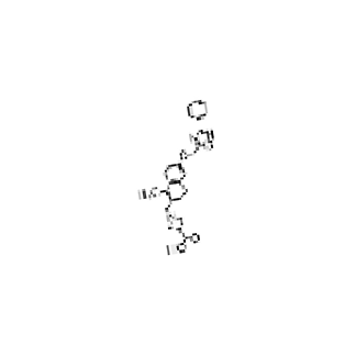 CC1=C(CN2CC(C(=O)O)C2)CCc2cc(OCc3nc(-c4ccccc4)no3)ccc21